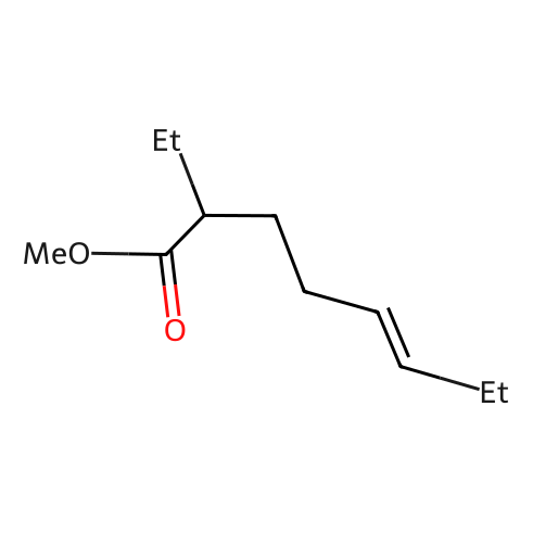 CCC=CCCC(CC)C(=O)OC